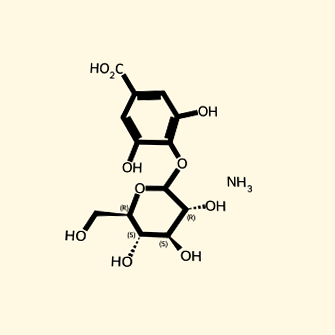 N.O=C(O)c1cc(O)c(OC2O[C@H](CO)[C@@H](O)[C@H](O)[C@H]2O)c(O)c1